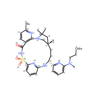 COCCN(C)c1cccc([C@H]2CC[C@@H]3CN(c4nc(C(C)(C)C)ccc4C(=O)NS(=O)(=O)c4cccc(n4)N2)C(C)(C)C3)n1